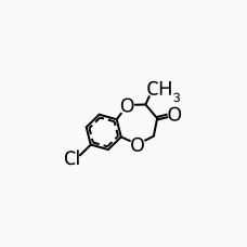 CC1Oc2ccc(Cl)cc2OCC1=O